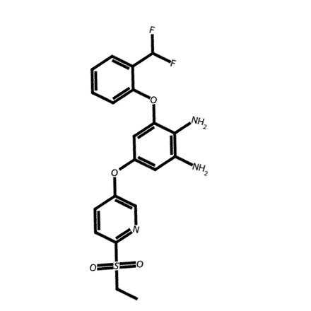 CCS(=O)(=O)c1ccc(Oc2cc(N)c(N)c(Oc3ccccc3C(F)F)c2)cn1